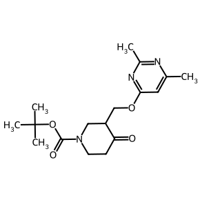 Cc1cc(OCC2CN(C(=O)OC(C)(C)C)CCC2=O)nc(C)n1